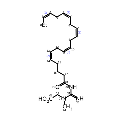 CC/C=C\C/C=C\C/C=C\C/C=C\C/C=C\CCCC(=O)NC(=N)N(C)CC(=O)O